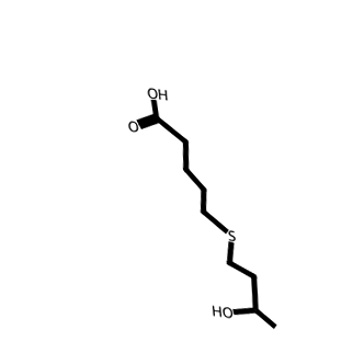 CC(O)CCSCCCCC(=O)O